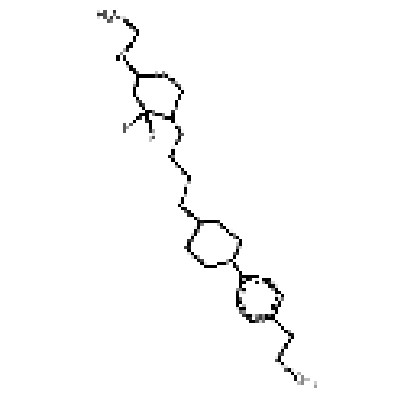 CCCc1ccc(C2CCC(CCCCC3CCC(OCC)CC3(F)F)CC2)cc1